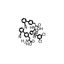 N#Cc1ccccc1-c1ccc(C[C@H](N)C(=O)O)cc1.N#Cc1ccccc1-c1ccc(C[C@H](NC(=O)c2cccn2S(=O)(=O)c2cc(Cl)cc(Cl)c2)C(=O)O)cc1